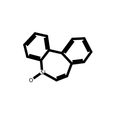 [O-][S+]1C=Cc2ccccc2-c2ccccc21